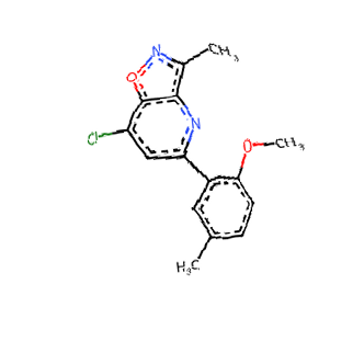 COc1ccc(C)cc1-c1cc(Cl)c2onc(C)c2n1